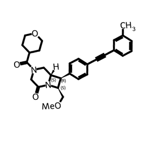 COC[C@@H]1[C@H](c2ccc(C#Cc3cccc(C)c3)cc2)[C@H]2CN(C(=O)C3CCOCC3)CC(=O)N12